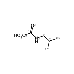 O=C(O)C(=O)NCC(F)F